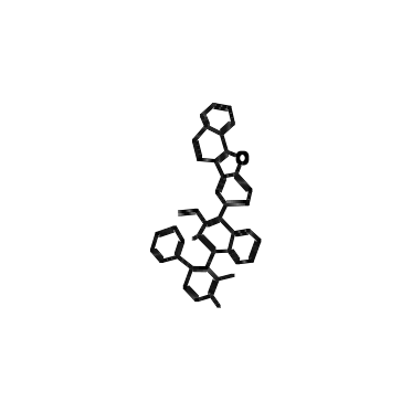 C=Cc1c(C)c(-c2c(-c3ccccc3)ccc(C)c2C)c2ccccc2c1-c1ccc2oc3c4ccccc4ccc3c2c1